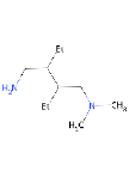 CCC(CN)C(CC)CN(C)C